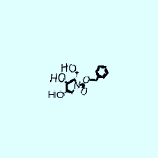 O=C(OCc1ccccc1)N1C[C@H](O)[C@@H](O)[C@@H]1CO